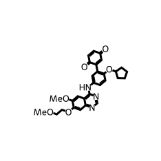 COCCOc1cc2ncnc(Nc3ccc(OC4CCCC4)c(C4=CC(=O)C=CC4=O)c3)c2cc1OC